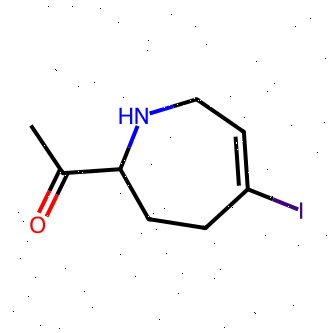 CC(=O)C1CCC(I)=CCN1